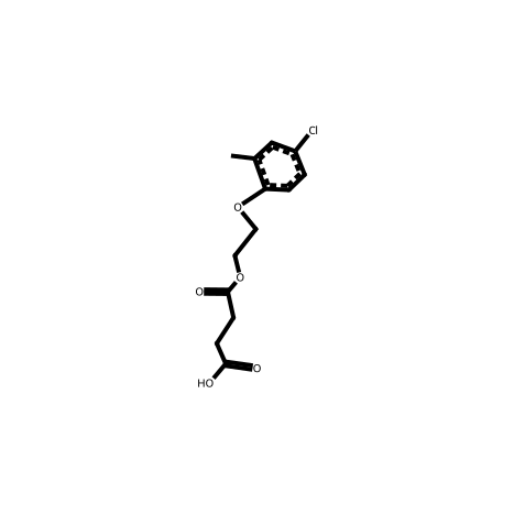 Cc1cc(Cl)ccc1OCCOC(=O)CCC(=O)O